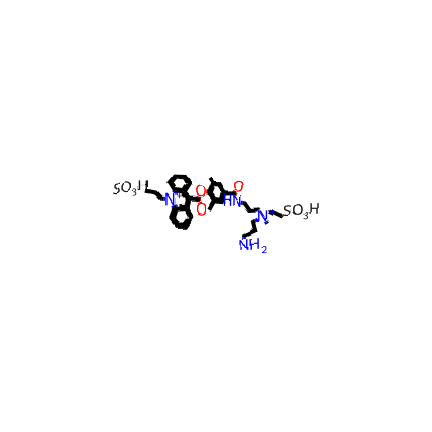 Cc1cc(C(=O)NCCC[N+](C)(CCCN)CCS(=O)(=O)O)cc(C)c1OC(=O)c1c2ccccc2[n+](CCCS(=O)(=O)O)c2ccccc12